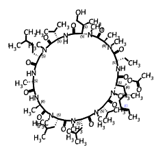 C/C=C/C[C@@H](C)[C@@H](OC(C)=O)[C@H]1C(=O)N[C@@H](CC)C(=O)N(C)[C@H](C)C(=O)N(C)[C@@H]([C@H](C)CO)C(=O)N[C@@H](C(C)C)C(=O)N(C)[C@@H](CCC(C)C)C(=O)N[C@@H](C)C(=O)N[C@H](C)C(=O)N(C)[C@@H](CC(C)C)C(=O)N(C)[C@@H](CC(C)C)C(=O)N(C)[C@@H](C(C)C)C(=O)N1C